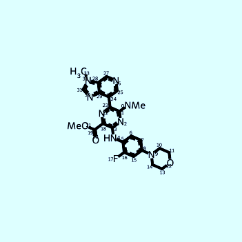 CNc1nc(Nc2ccc(N3CCOCC3)cc2F)c(C(=O)OC)nc1-c1cncc2c1ncn2C